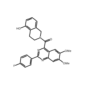 COc1cc2nc(-c3ccc(F)cc3)nc(C(=O)N3CCc4c(O)cccc4C3)c2cc1OC